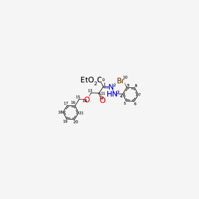 CCOC(=O)/C(=N/Nc1ccccc1Br)C(=O)COCc1ccccc1